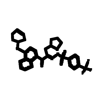 O=C(/C(CC1CCCO1)=N/OS(=O)(=O)c1ccc(C(F)(F)F)cc1)c1ccc(OC2CC=CCC2)c2ccccc12